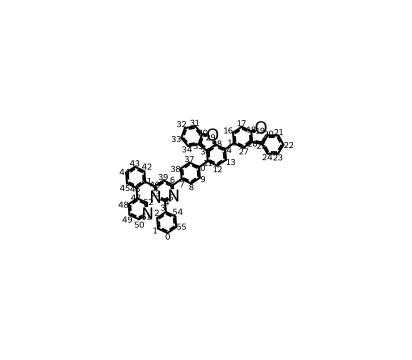 c1ccc(-c2nc(-c3ccc(-c4ccc(-c5ccc6oc7ccccc7c6c5)c5oc6ccccc6c45)cc3)cc(-c3ccccc3-c3cccnc3)n2)cc1